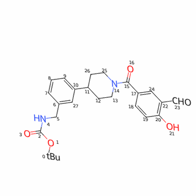 CC(C)(C)OC(=O)NCc1cccc(C2CCN(C(=O)c3ccc(O)c(C=O)c3)CC2)c1